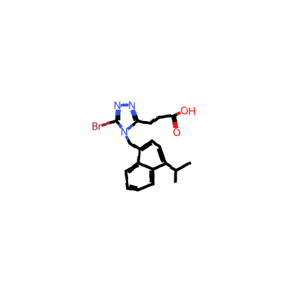 CC(C)c1ccc(Cn2c(Br)nnc2CCC(=O)O)c2ccccc12